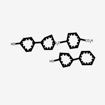 O=C(O)c1ccc(C(=O)O)cc1.Oc1ccc(-c2ccccc2)cc1.Oc1ccc(-c2ccccc2)cc1